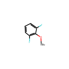 CCCCOc1c(F)c[c]cc1F